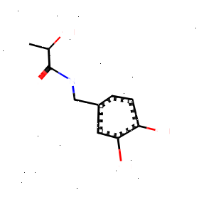 CC(O)C(=O)NCc1ccc(O)c(O)c1